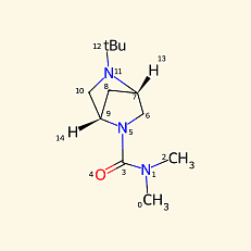 CN(C)C(=O)N1C[C@@H]2C[C@H]1CN2C(C)(C)C